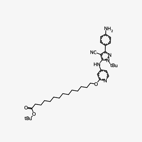 CC(C)(C)OC(=O)CCCCCCCCCCCCCOc1cc(Nc2c(C#N)c(-c3ccc(N)cc3)nn2C(C)(C)C)ccn1